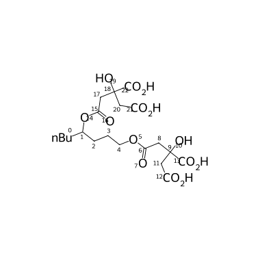 CCCCC(CCCOC(=O)CC(O)(CC(=O)O)C(=O)O)OC(=O)CC(O)(CC(=O)O)C(=O)O